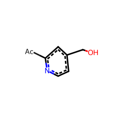 CC(=O)c1cc(CO)ccn1